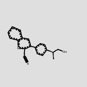 CC(CO)c1ccc(-c2cc3ccccc3nc2C#N)cc1